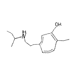 Cc1ccc(CNC(C)C)cc1O